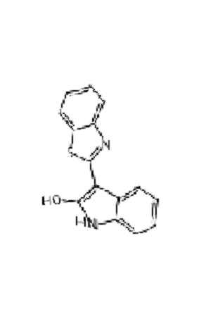 Oc1[nH]c2ccccc2c1-c1nc2ccccc2s1